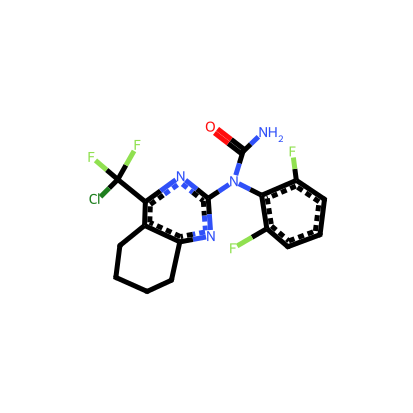 NC(=O)N(c1nc2c(c(C(F)(F)Cl)n1)CCCC2)c1c(F)cccc1F